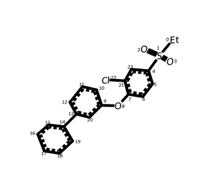 CCS(=O)(=O)c1ccc(Oc2c[c]cc(-c3ccccc3)c2)c(Cl)c1